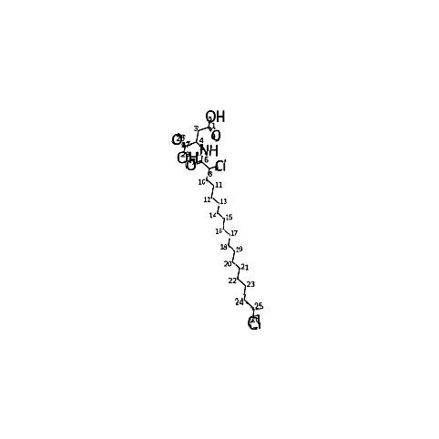 O=C(O)CC(NC(=O)C(Cl)CCCCCCCCCCCCCCCCCl)C(=O)O